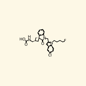 O=C(O)NC[C@H]1C[C@@]2(C1)C(=O)N(Cc1cc3cc(Cl)ccc3n1CCCCF)c1ccccc12